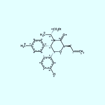 C=CC[C@H]1O[C@H](c2cccc(Cl)c2)[C@H](c2ccc(C)cc2)N([C@H](C)C(=O)OCC)C1=O